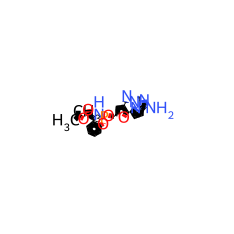 CC(C)OC(=O)CNP(OC[C@@H]1C[C@H](C#N)[C@H](c2ccc3c(N)ncnn23)O1)Oc1ccccc1